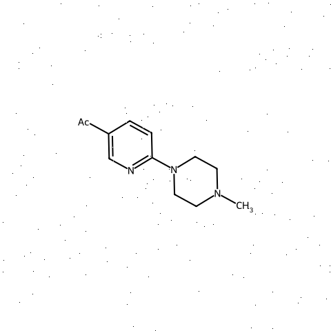 CC(=O)c1ccc(N2CCN(C)CC2)nc1